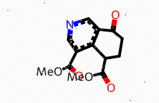 COC(=O)c1cncc2c1C(C(=O)OC)CCC2=O